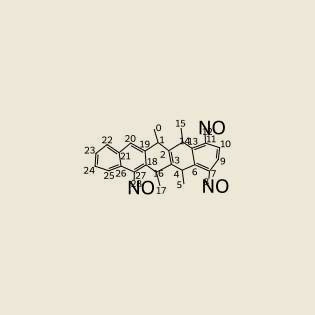 CC1C2=C(C(C)c3c(N=O)ccc(N=O)c3C2C)C(C)c2c1cc1ccccc1c2N=O